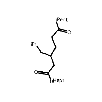 CCCCCCCC(=O)CC(CCC(=O)CCCCC)CC(C)C